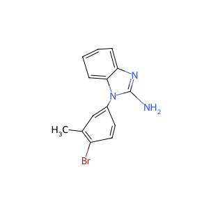 Cc1cc(-n2c(N)nc3ccccc32)ccc1Br